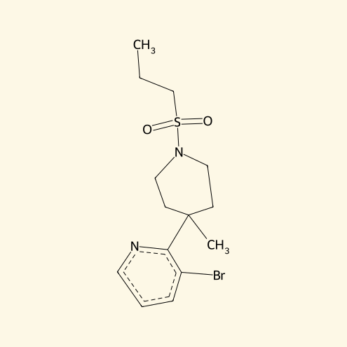 CCCS(=O)(=O)N1CCC(C)(c2ncccc2Br)CC1